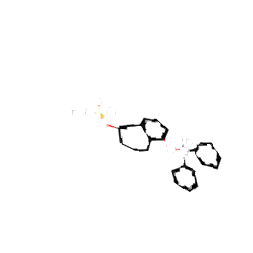 CC(C)(C)[Si](Oc1cccc2c1CCCC(OS(=O)(=O)C(F)(F)F)=C2)(c1ccccc1)c1ccccc1